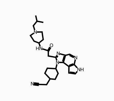 CC(C)CN1CCC(NC(=O)Cc2nc3cnc4[nH]ccc4c3n2C2CCC(CC#N)CC2)CC1